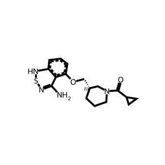 NC1=NSNc2cccc(OC[C@H]3CCCN(C(=O)C4CC4)C3)c21